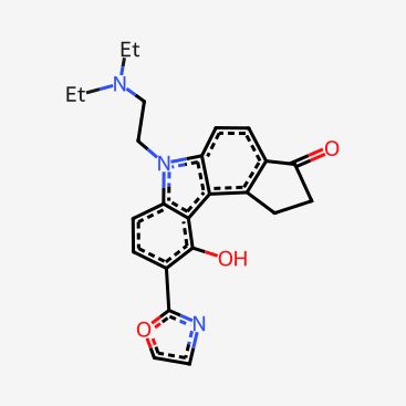 CCN(CC)CCn1c2ccc(-c3ncco3)c(O)c2c2c3c(ccc21)C(=O)CC3